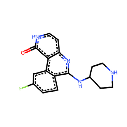 O=c1[nH]ccc2nc(NC3CCNCC3)c3ccc(F)cc3c12